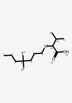 CCCC(F)(F)CCCSC(C(=O)O)C(C)C